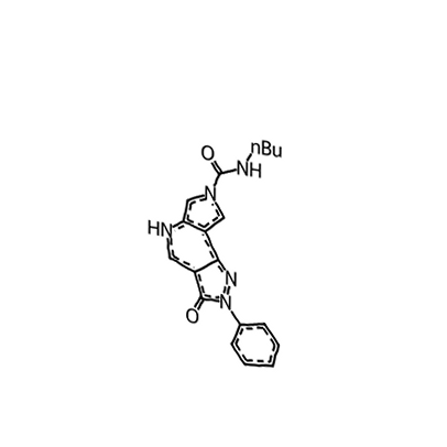 CCCCNC(=O)n1cc2[nH]cc3c(=O)n(-c4ccccc4)nc-3c2c1